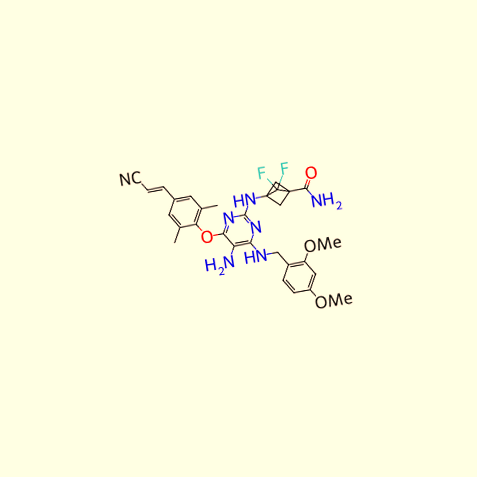 COc1ccc(CNc2nc(NC34CC(C(N)=O)(C3)C4(F)F)nc(Oc3c(C)cc(/C=C/C#N)cc3C)c2N)c(OC)c1